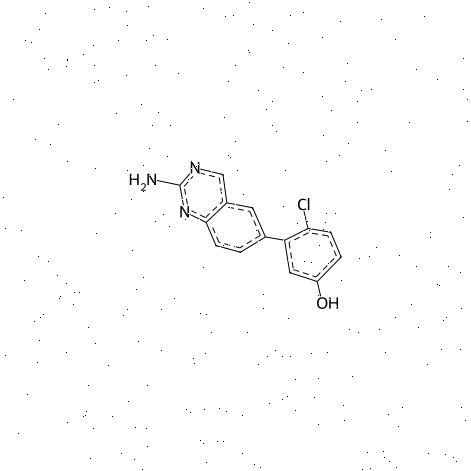 Nc1ncc2cc(-c3cc(O)ccc3Cl)ccc2n1